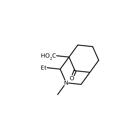 CCC1N(C)CC2CCCC1(C(=O)O)C2=O